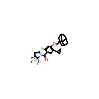 C[C@@H]1[C@@H](C(=O)O)N(C(=O)c2cc(C3CC3)c(OCC34CC5CC(CC(C5)C3)C4)cc2F)C[C@@H]1F